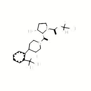 CC(C)(C)OC(=O)N1CC[C@@H](O)[C@@H]1C(=O)N1CCC(c2ccccc2C(C)(C)C)CC1